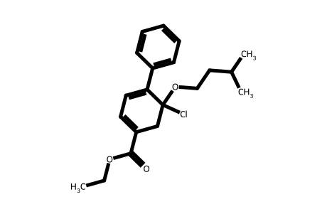 CCOC(=O)C1=CC=C(c2ccccc2)C(Cl)(OCCC(C)C)C1